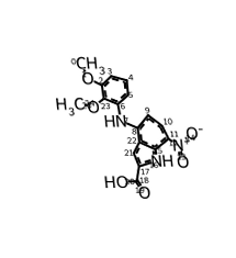 COc1cccc(Nc2ccc([N+](=O)[O-])c3[nH]c(C(=O)O)cc23)c1OC